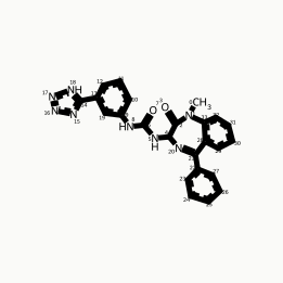 CN1C(=O)C(NC(=O)Nc2cccc(-c3nnn[nH]3)c2)N=C(c2ccccc2)c2ccccc21